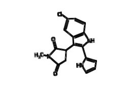 CN1C(=O)CC(c2c(-c3ccc[nH]3)[nH]c3ccc(Cl)cc23)C1=O